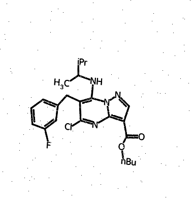 CCCCOC(=O)c1cnn2c(NC(C)C(C)C)c(Cc3cccc(F)c3)c(Cl)nc12